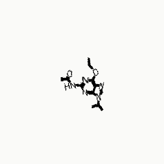 CCOc1nc(NC(C)=O)nc2c1ncn2C(C)C